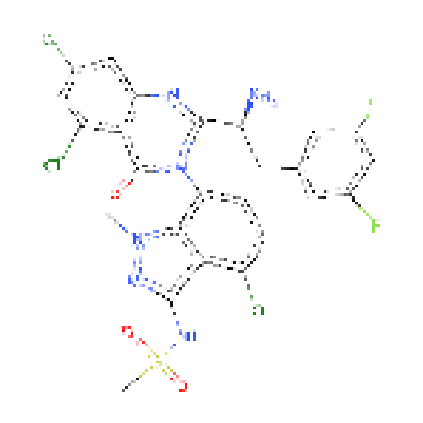 Cn1nc(NS(C)(=O)=O)c2c(Cl)ccc(-n3c([C@@H](N)Cc4cc(F)cc(F)c4)nc4cc(Cl)cc(Cl)c4c3=O)c21